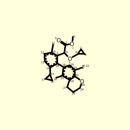 COC(=O)C(OC1CC1)c1c(C)ccc(C2CC2)c1-c1cc(F)c2c(c1C)CCCO2